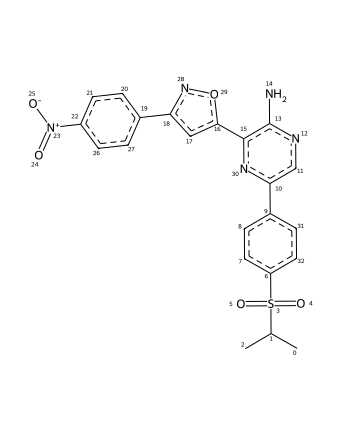 CC(C)S(=O)(=O)c1ccc(-c2cnc(N)c(-c3cc(-c4ccc([N+](=O)[O-])cc4)no3)n2)cc1